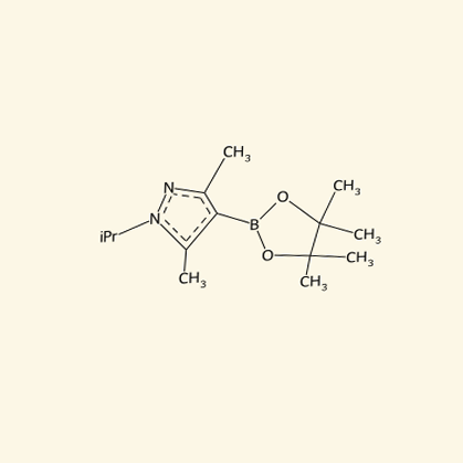 Cc1nn(C(C)C)c(C)c1B1OC(C)(C)C(C)(C)O1